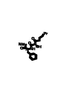 CNC(=O)[C@H](Cc1ccccc1)NC(=O)N(O)C(=O)CCCC(C)C